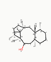 C[C@@H]1CCC[C@@]2(C)CC(O)[C@H]3[C@H](C)CC[C@@H](C[C@H]12)C3(C)C